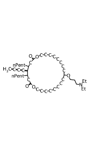 C=C=C=C=C1C(CCCCC)CC(=O)OCCCCCCCCC(OCCCN(CC)CC)CCCCCCCCOC(=O)CC1CCCCC